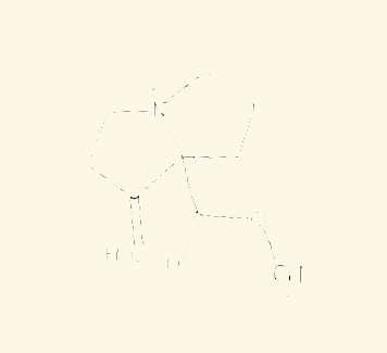 C=C1CCN2CCCC12C(=O)OC